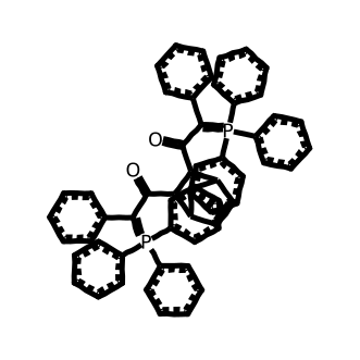 O=C(C(c1ccccc1)=P(c1ccccc1)(c1ccccc1)c1ccccc1)C1C2C=CC(C2)C1C(=O)C(c1ccccc1)=P(c1ccccc1)(c1ccccc1)c1ccccc1